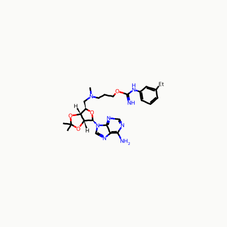 CCc1cccc(NC(=N)OCCCN(C)C[C@H]2O[C@@H](n3cnc4c(N)ncnc43)[C@@H]3OC(C)(C)O[C@@H]32)c1